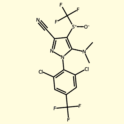 CN(C)c1c([S+]([O-])C(F)(F)F)c(C#N)nn1-c1c(Cl)cc(C(F)(F)F)cc1Cl